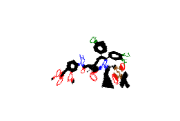 COC(=O)c1ccc(NC(=O)C[C@@]2(C)C[C@H](c3cccc(Cl)c3)[C@@H](C3C=C(F)C(Cl)=CC3)N([C@H](CS(=O)(=O)C(C)(C)C)C3CC3)C2=O)cc1OC